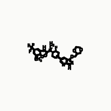 CN(C(=O)Nc1cc(C(F)(F)F)cn(C)c1=O)[C@H]1CCN(c2cnc3[nH]nc(OCC4COCCO4)c3c2)C[C@H]1F